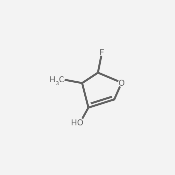 CC1C(O)=COC1F